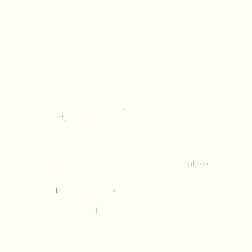 CCCCCCc1cc(O)c2c(c1)OC(C)(C)C1=C2CN(Cc2ccccc2)CC1